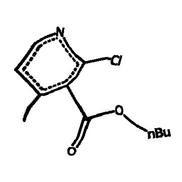 CCCCOC(=O)c1c(C)ccnc1Cl